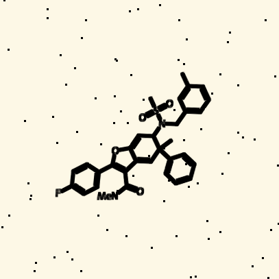 CNC(=O)c1c(-c2ccc(F)cc2)oc2c1=CC(C)(c1ccccc1)C(N(Cc1cccc(C)c1)S(C)(=O)=O)C=2